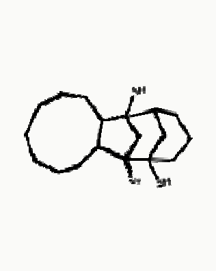 SC12CC(S)(C3CCCCCCCC31)C1(S)CCCC2C1